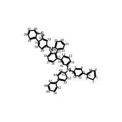 C1=CCCC(c2ccc(N(c3cccc(-c4cccc5c4c4ccccc4n5-c4ccc5c(c4)sc4ccccc45)c3)C3C=CC(c4ccccc4)=CC3)cc2)=C1